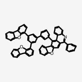 c1ccc(-c2nc3ccccc3c3c(-c4cccc(-c5cc(-c6cccc7c6oc6ccccc67)cc(-c6cccc7c6oc6ccccc67)c5)c4)c4c(cc23)oc2ccccc24)cc1